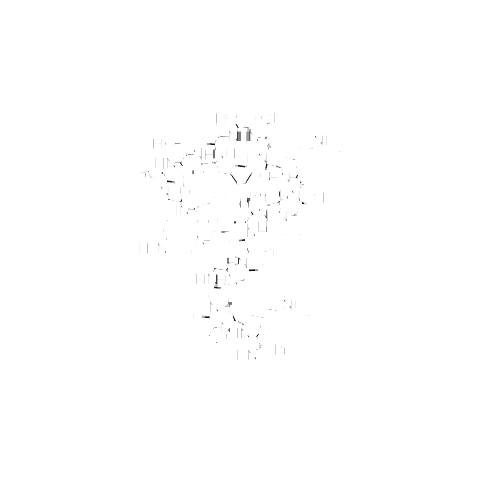 CC[C@H](C)[C@H](NC(=O)[C@H](CO)NC(=O)[C@H](Cc1ccccc1)NC(=O)[C@H](CC(=O)O)NC(=O)[C@H](CO)NC(=O)[C@H](C)NC(=O)[C@H](CCCCN)NC(=O)[C@H](CS)NC(=O)[C@H](CO)NC(=O)[C@@H](NC(=O)[C@H](CCCCN)NC(=O)[C@@H](NC(=O)[C@H](CC(C)C)NC(=O)[C@H](C)NC(=O)CNC(=O)[C@@H]1CCCN1C(=O)[C@H](CCCCN)NC(=O)[C@@H](N)C(C)C)C(C)C)[C@@H](C)CC)C(=O)N[C@@H](CCCCN)C(=O)N[C@@H](CC(=O)O)C(=O)O